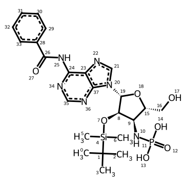 CC(C)(C)[Si](C)(C)O[C@@H]1[C@H](NP(=O)(O)O)[C@@H](CO)O[C@H]1n1cnc2c(NC(=O)c3ccccc3)ncnc21